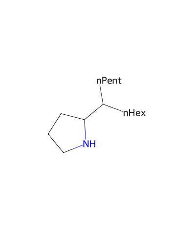 CCCCCCC(CCCCC)C1CCCN1